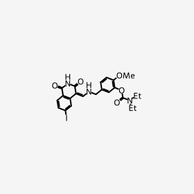 CCN(CC)C(=O)Oc1cc(CN/C=C2\C(=O)NC(=O)c3ccc(I)cc32)ccc1OC